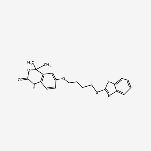 CC1(C)OC(=O)Nc2ccc(OCCCCSc3nc4ccccc4s3)cc21